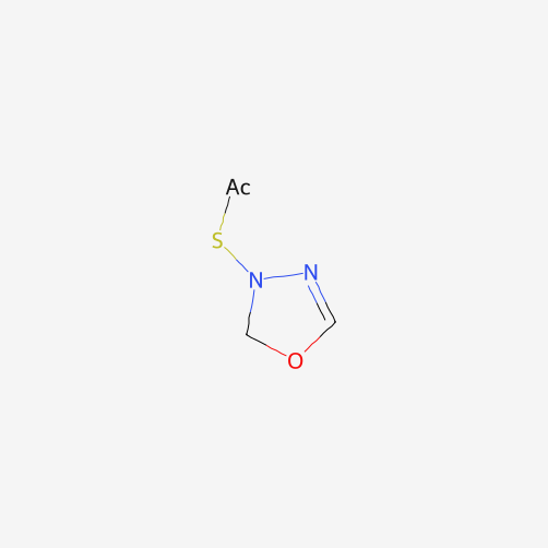 CC(=O)SN1COC=N1